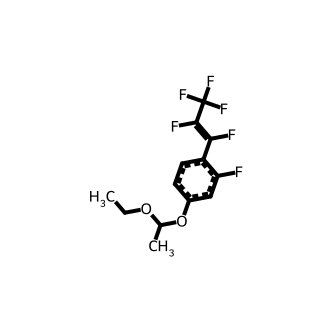 CCOC(C)Oc1ccc(/C(F)=C(\F)C(F)(F)F)c(F)c1